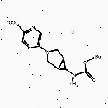 CN(C(=O)OC(C)(C)C)C1C2CN(c3cnc(C(=O)[O-])cn3)CC21.[Li+]